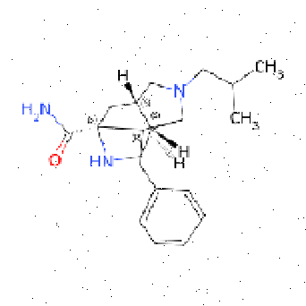 CC(C)CN1C[C@H]2C[C@]3(C(N)=O)NC[C@H]2C1[C@H]3Cc1ccccc1